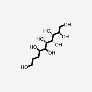 OCCCC(O)C(O)[C@@H](O)[C@@H](O)[C@H](O)[C@H](O)CO